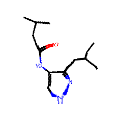 CC(C)CC(=O)Nc1c[nH]nc1CC(C)C